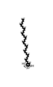 COC1=C(OC)C(O)C(CC=C(C)CCC=C(C)CCC=C(C)CCC=C(C)CCC=C(C)CCC=C(C)CCC=C(C)CCC=C(C)CCC=C(C)CCC=C(C)C)=C(C)C1O